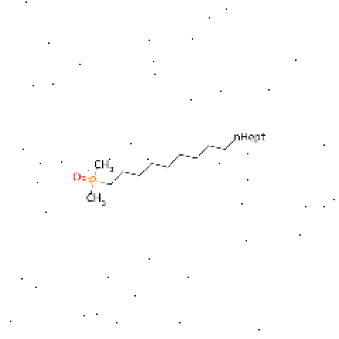 CCCCCCCCCCCCCCCCP(C)(C)=O